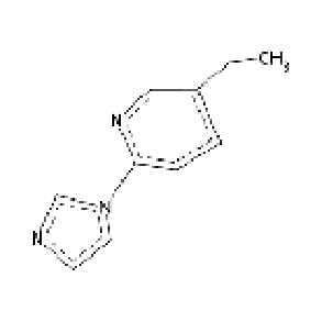 CCc1ccc(-n2ccnc2)nc1